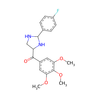 COc1cc(C(=O)C2CNC(c3ccc(F)cc3)N2)cc(OC)c1OC